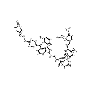 COc1ccc(COc2nc(NC3(C(=O)NCCCn4cc(-c5cccc(F)c5)c5c(CN6CCN(CCOc7ccc(Cl)cc7)CC6)cccc54)CCNCC3)ccc2OC)cc1OC